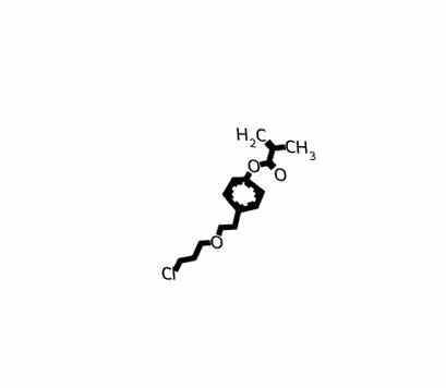 C=C(C)C(=O)Oc1ccc(CCOCCCCl)cc1